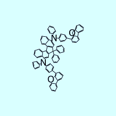 c1ccc(N(c2ccc(-c3cccc4c3oc3ccccc34)cc2)c2cc3c(c4ccccc24)-c2c(cc(N(c4ccccc4)c4ccc(-c5cccc6c5oc5ccccc56)cc4)c4ccccc24)C3(c2ccccc2)c2ccccc2)cc1